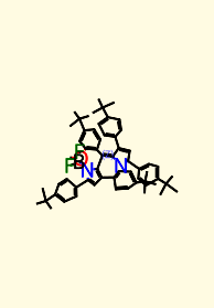 COc1cc(C(C)(C)C)ccc1/C(=C1/N=C(c2ccc(C(C)(C)C)cc2)C=C1c1ccc(C(C)(C)C)cc1)c1c(-c2ccc(C(C)(C)C)cc2)cc(-c2ccc(C(C)(C)C)cc2)n1B(F)F